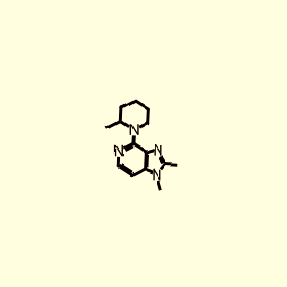 Cc1nc2c(N3CCCCC3C)nccc2n1C